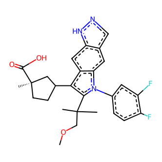 COCC(C)(C)c1c(C2CC[C@@](C)(C(=O)O)C2)c2cc3[nH]ncc3cc2n1-c1ccc(F)c(F)c1